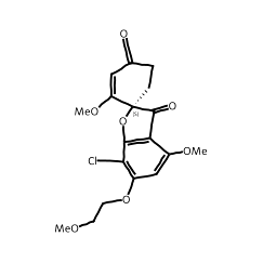 COCCOc1cc(OC)c2c(c1Cl)O[C@]1(CCC(=O)C=C1OC)C2=O